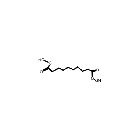 O=C(CCCCCCCCC(=O)OO)OO